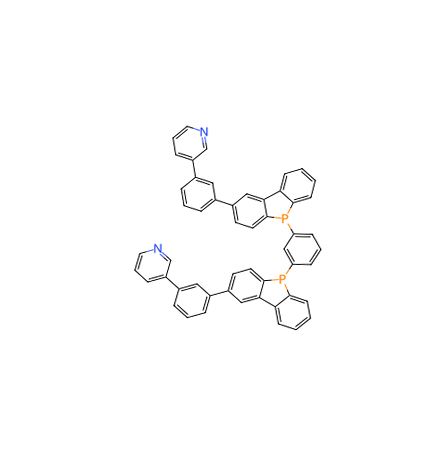 c1cncc(-c2cccc(-c3ccc4c(c3)c3ccccc3p4-c3cccc(-p4c5ccccc5c5cc(-c6cccc(-c7cccnc7)c6)ccc54)c3)c2)c1